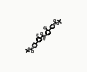 CC(C)(C)OC(=O)N1CC=C(c2ccc(C(=O)Nc3ccc(C4=CCN(C(=O)OC(C)(C)C)CC4)c(Cl)c3)c(F)c2)CC1